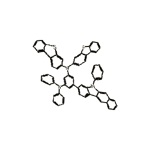 c1ccc(N(c2ccccc2)c2cc(-c3ccc4c5cc6ccccc6cc5n(-c5ccccc5)c4c3)cc(N(c3ccc4c(c3)sc3ccccc34)c3ccc4c(c3)sc3ccccc34)c2)cc1